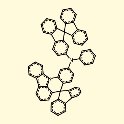 c1ccc(N(c2ccc3c(c2)-n2c4ccccc4c4cccc(c42)C32c3ccccc3-c3ccccc32)c2ccc3c(c2)C2(c4ccccc4-c4ccccc42)c2ccccc2-3)cc1